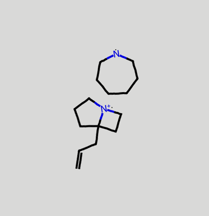 C1CCC[N]CC1.C=CCC12CCC[N+]1CC2